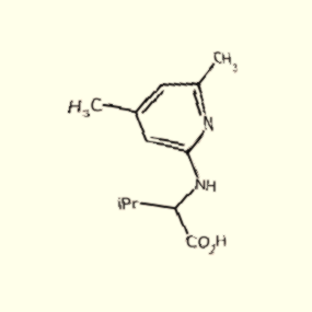 Cc1cc(C)nc(NC(C(=O)O)C(C)C)c1